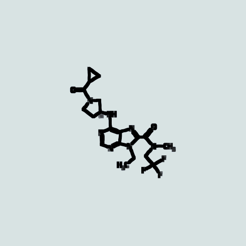 CCn1c(C(=O)N(C)CC(F)(F)F)nc2c(N[C@H]3CCN(C(=O)C4CC4)C3)ncnc21